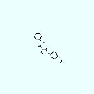 CC1=NN(c2ccc(OC(F)F)cc2)C(=O)C1C(=O)N(C)c1cc(F)cc(Cl)c1